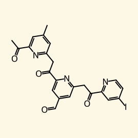 CC(=O)c1cc(C)cc(CC(=O)c2cc(C=O)cc(CC(=O)c3cc(I)ccn3)n2)n1